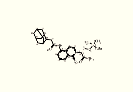 CC(C)(C)[Si](C)(C)OC[C@H](C(N)=O)n1ccc2c(NC(=O)CC3C4CC5CC(C4)CC3C5)cccc2c1=O